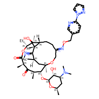 CC[C@H]1OC(=O)[C@H](C)C(=O)[C@H](C)[C@@H](O[C@@H]2O[C@H](C)C[C@H](N(C)C)[C@H]2O)[C@@]2(C)C[C@@H](C)/C(=N\C(C)=O)[C@H](C)[C@@H](CC/C(=N\OCc3ccc(-n4cccn4)nc3)CO2)[C@]1(C)O